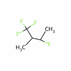 CC(F)C(C)C(F)(F)F